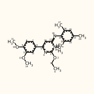 CCOc1nc(-c2ccc(OC)c(OC)c2)c/c(=N/c2c(C)cc(C)cc2C)n1C